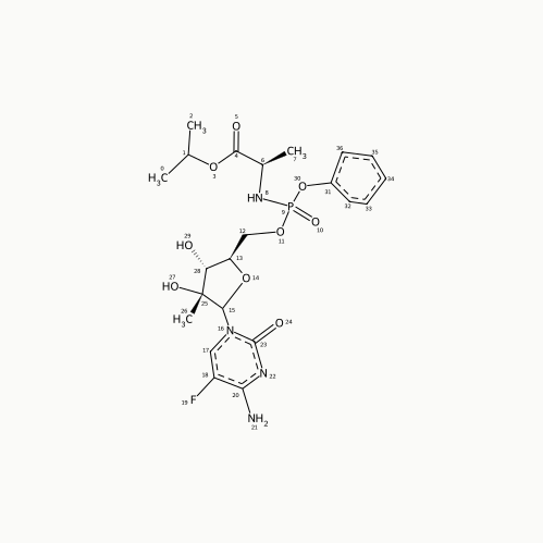 CC(C)OC(=O)[C@@H](C)NP(=O)(OC[C@H]1OC(n2cc(F)c(N)nc2=O)[C@](C)(O)[C@@H]1O)Oc1ccccc1